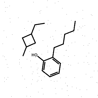 CCC1CC(C)C1.CCCCCc1ccccc1O